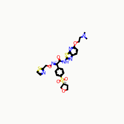 CN(C)CCOc1ccc2nc(NC(=O)/C(=N/OCc3nccs3)c3ccc(S(=O)(=O)[C@H]4CCOC4)cc3)sc2n1